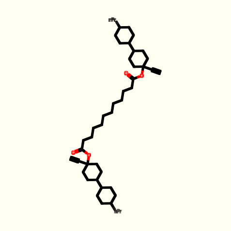 C#CC1(OC(=O)CCCCCCCCCCC(=O)OC2(C#C)CCC(C3CCC(CCC)CC3)CC2)CCC(C2CCC(CCC)CC2)CC1